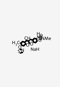 CNS(=O)(=O)Nc1cccc(Cc2c(C)c3cc(C)c(Oc4nccs4)cc3oc2=O)c1.[NaH]